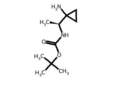 C[C@H](NC(=O)OC(C)(C)C)C1(N)CC1